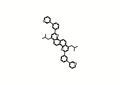 CC(C)Cc1cc(-c2cccc(-c3cccnc3)c2)nc2c1ccc1c2ccc2c(CC(C)C)cc(-c3cccc(-c4cccnc4)c3)nc21